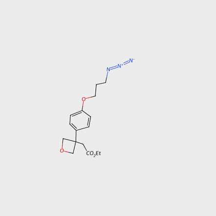 CCOC(=O)CC1(c2ccc(OCCCN=[N+]=[N-])cc2)COC1